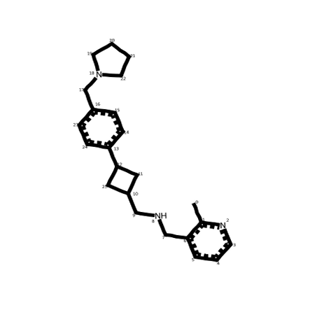 Cc1ncccc1CNCC1CC(c2ccc(CN3CCCC3)cc2)C1